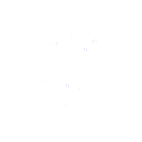 CCCN1C(=O)C2(CCC2)Oc2cc(C)c(C(=O)N(C(C)C)C3CCCCC3)cc21